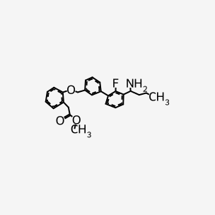 CCCC(N)c1cccc(-c2cccc(COc3ccccc3CC(=O)OC)c2)c1F